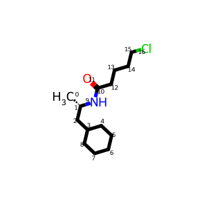 C[C@@H](CC1CCCCC1)NC(=O)CCCCCl